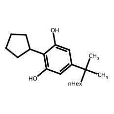 CCCCCCC(C)(C)c1cc(O)c(C2CCCC2)c(O)c1